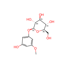 COc1cc(O)cc(O[C@@H]2O[C@H](CO)[C@@H](O)[C@H](O)[C@H]2O)c1